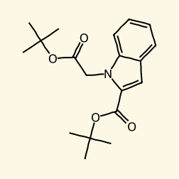 CC(C)(C)OC(=O)Cn1c(C(=O)OC(C)(C)C)cc2ccccc21